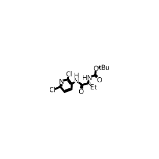 CC[C@@H](NC(=O)OC(C)(C)C)C(=O)Nc1ccc(Cl)nc1Cl